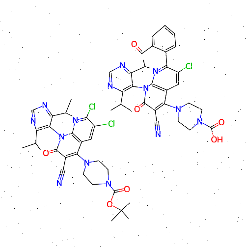 CC(C)c1ncnc(C(C)C)c1-n1c(=O)c(C#N)c(N2CCN(C(=O)O)CC2)c2cc(Cl)c(-c3ccccc3C=O)nc21.CC(C)c1ncnc(C(C)C)c1-n1c(=O)c(C#N)c(N2CCN(C(=O)OC(C)(C)C)CC2)c2cc(Cl)c(Cl)nc21